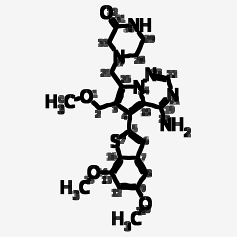 COCc1c(-c2cc3cc(OC)cc(OC)c3s2)c2c(N)ncnn2c1CN1CCNC(=O)C1